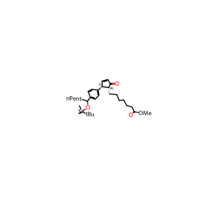 CCCCCC(O[Si](C)(C)C(C)(C)C)c1ccc([C@H]2C=CC(=O)[C@@H]2CCCCCCC(=O)OC)cc1